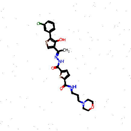 C/C(=N\NC(=O)c1ccc(C(=O)NCCCN2CCOCC2)s1)c1csc(-c2cccc(Cl)c2)c1O